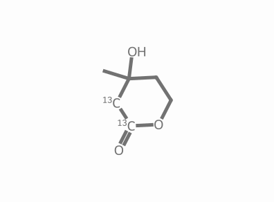 CC1(O)CCO[13C](=O)[13CH2]1